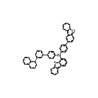 c1cc(-c2ccc(N(c3ccc(-c4ccc5oc6ccccc6c5c4)cc3)c3cccc4c3sc3ccccc34)cc2)cc(-c2cccc3ccccc23)c1